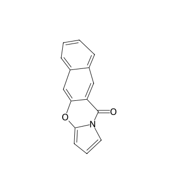 O=c1c2cc3ccccc3cc2oc2cccn12